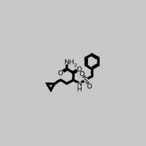 NC(=O)C(=O)C(CCC1CC1)NS(=O)(=O)Cc1ccccc1